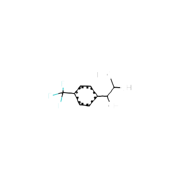 CC(C)C(C)c1ccc(C(F)(F)F)cc1